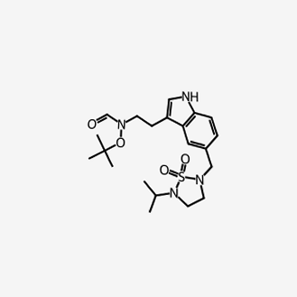 CC(C)N1CCN(Cc2ccc3[nH]cc(CCN(C=O)OC(C)(C)C)c3c2)S1(=O)=O